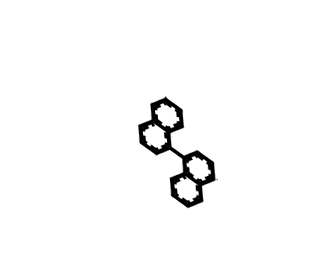 [c]1ccc2c(-c3cc[c]c4ccccc34)cccc2c1